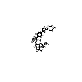 CN1CCN(c2nc(-c3ccc(C(=O)N[C@@H](CC(C)(C)C)C(=O)N4C[C@H](C(C)(C)C)[C@H]5OCC(=O)[C@H]54)cc3)cs2)CC1